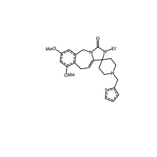 CCN1C(=O)N2Cc3cc(OC)cc(OC)c3CC=C2C12CCN(Cc1cccs1)CC2